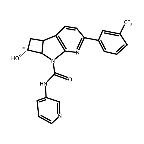 O=C(Nc1cccnc1)N1c2nc(-c3cccc(C(F)(F)F)c3)ccc2C2C[C@@H](O)C21